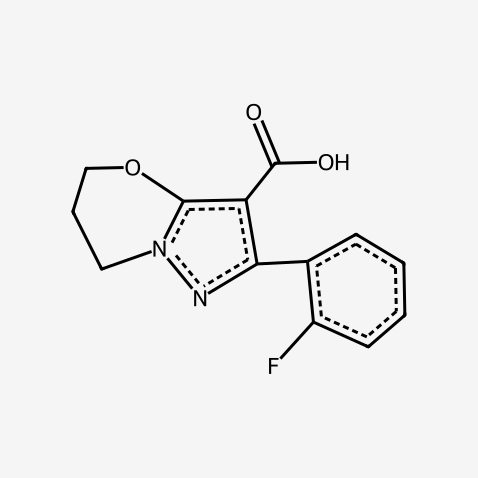 O=C(O)c1c(-c2ccccc2F)nn2c1OCCC2